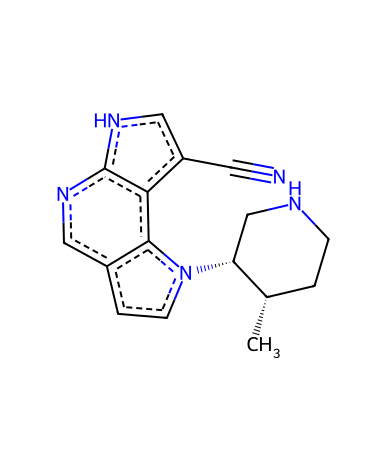 C[C@H]1CCNC[C@H]1n1ccc2cnc3[nH]cc(C#N)c3c21